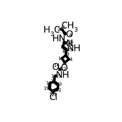 CC(C)C(=O)Nc1cc(C2CC(OC(=O)NCc3ccc(Cl)cc3)C2)[nH]n1